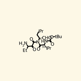 CCC(N)C(=O)C(=O)N(C(=O)[C@@H](NC(=O)OC(C)(C)C)C(C)C)[C@@H]([C]=O)CC(C)C